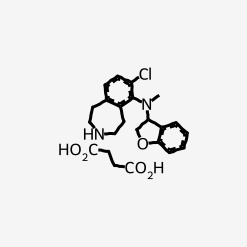 CN(c1c(Cl)ccc2c1CCNCC2)C1COc2ccccc21.O=C(O)CCC(=O)O